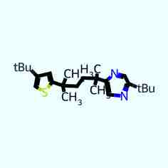 CC(C)(C)c1csc(C(C)(C)CCC(C)(C)c2cnc(C(C)(C)C)cn2)c1